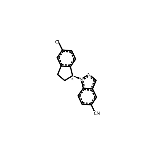 N#Cc1ccc2c(cnn2[C@H]2CCc3cc(Cl)ccc32)c1